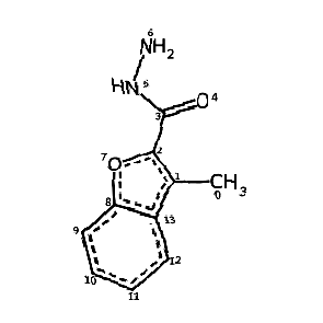 Cc1c(C(=O)NN)oc2ccccc12